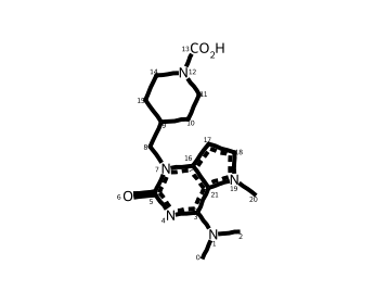 CN(C)c1nc(=O)n(CC2CCN(C(=O)O)CC2)c2ccn(C)c12